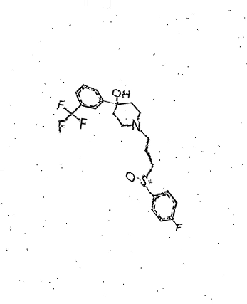 [O-][S+](CCCN1CCC(O)(c2cccc(C(F)(F)F)c2)CC1)c1ccc(F)cc1